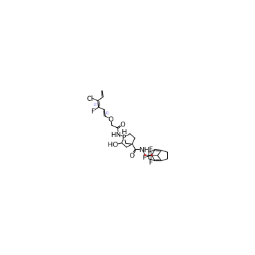 C=C/C(Cl)=C(F)\C=C\OCC(=O)N[PH]12CCC(C(=O)NCC3C4=C5CCC(=C3CC4)C5C(F)(F)F)(CC1O)C2